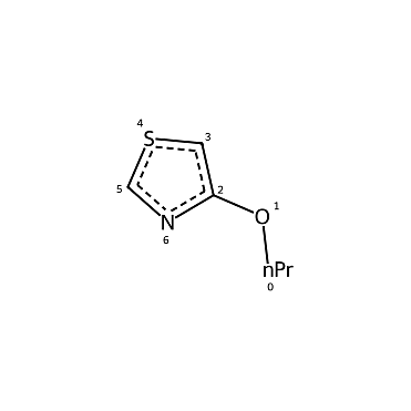 CCCOc1cscn1